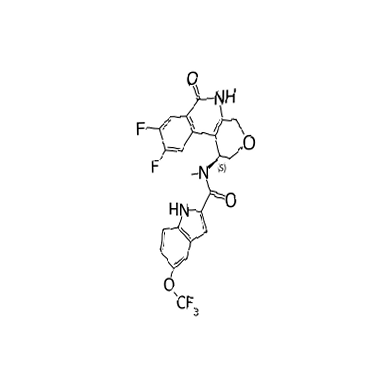 CN(C(=O)c1cc2cc(OC(F)(F)F)ccc2[nH]1)[C@@H]1COCc2[nH]c(=O)c3cc(F)c(F)cc3c21